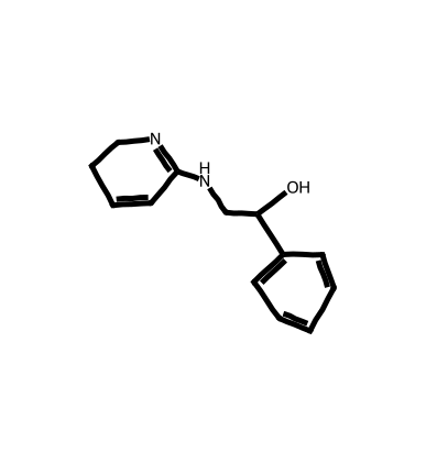 OC(CNC1=NCCC=C1)c1ccccc1